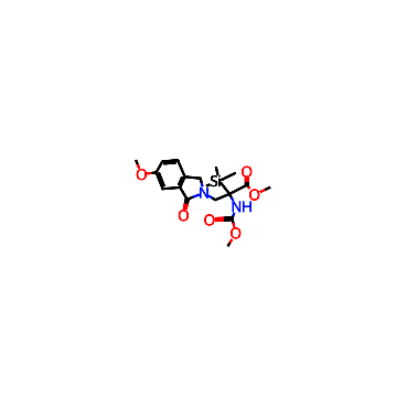 COC(=O)NC(CN1Cc2ccc(OC)cc2C1=O)(C(=O)OC)[Si](C)(C)C